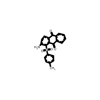 Cc1ccc(S(=O)(=O)c2c(N)ccc3c2C(=O)c2ccccc2C3=O)cc1